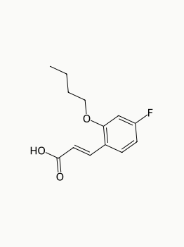 CCCCOc1cc(F)ccc1C=CC(=O)O